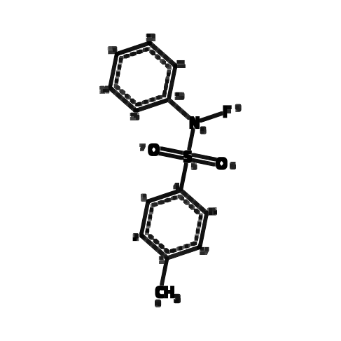 Cc1ccc(S(=O)(=O)N(F)c2ccccc2)cc1